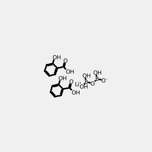 O=C(O)c1ccccc1O.O=C(O)c1ccccc1O.[Li+].[O-]B(O)OB(O)O